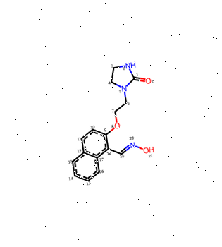 O=C1NCCN1CCOc1ccc2ccccc2c1C=NO